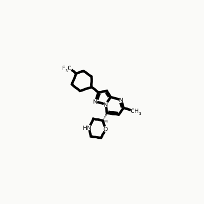 Cc1cc([C@H]2CNCCO2)n2nc(C3CCC(C(F)(F)F)CC3)cc2n1